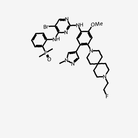 COc1cc(N2CCC3(CCN(CCF)CC3)CC2)c(-c2cnn(C)c2)cc1Nc1ncc(Br)c(Nc2ccccc2P(C)(C)=O)n1